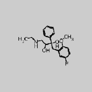 CCNCC(O)[C@@](O)(Cc1cc(F)ccc1OC)c1ccccc1